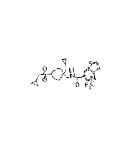 O=C(NCC1(CC2CC2)CCC(S(=O)(=O)CC2CC2)CC1)c1cc2sccc2nc1C(F)(F)F